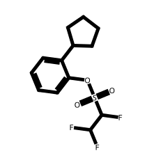 O=S(=O)(Oc1ccccc1C1CCCC1)C(F)C(F)F